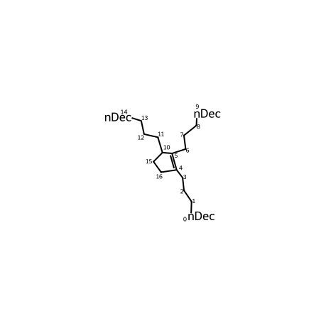 CCCCCCCCCCCCCC1=C(CCCCCCCCCCCCC)C(CCCCCCCCCCCCC)CC1